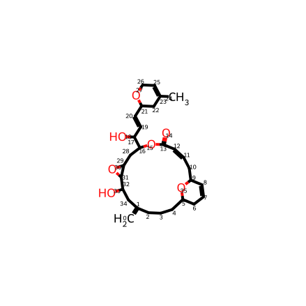 C=C1CCCC2CC=CC(CC=CC(=O)OC(C(O)C=CC3CC(C)=CCO3)CC3OC3C(O)C1)O2